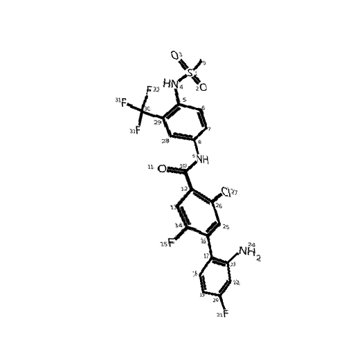 CS(=O)(=O)Nc1ccc(NC(=O)c2cc(F)c(-c3ccc(F)cc3N)cc2Cl)cc1C(F)(F)F